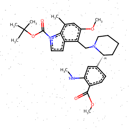 CNc1cc([C@H]2CCCCN2Cc2c(OC)cc(C)c3c2ccn3C(=O)OC(C)(C)C)ccc1C(=O)OC